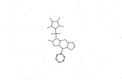 CC1CC2C(CC3CCCC3C2c2ccccc2)C1[Si](C)(C)C1C(C)C(C)C(C)C1C